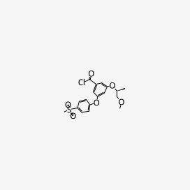 COC[C@H](C)Oc1cc(Oc2ccc(S(C)(=O)=O)cc2)cc(C(=O)Cl)c1